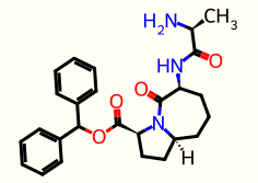 C[C@H](N)C(=O)N[C@H]1CCC[C@H]2CC[C@@H](C(=O)OC(c3ccccc3)c3ccccc3)N2C1=O